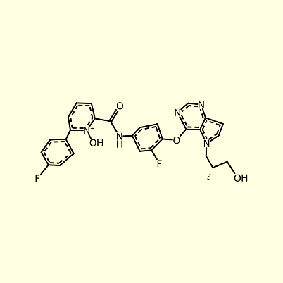 C[C@@H](CO)Cn1ccc2ncnc(Oc3ccc(NC(=O)c4cccc(-c5ccc(F)cc5)[n+]4O)cc3F)c21